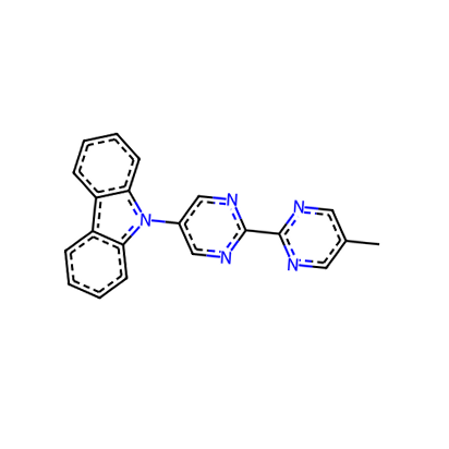 Cc1cnc(-c2ncc(-n3c4ccccc4c4ccccc43)cn2)nc1